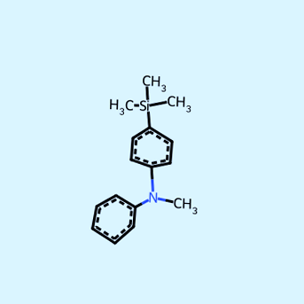 CN(c1ccccc1)c1ccc([Si](C)(C)C)cc1